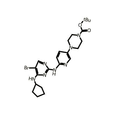 CC(C)(C)OC(=O)N1CCN(c2ccc(Nc3ncc(Br)c(NC4CCCC4)n3)nc2)CC1